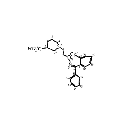 O=C(O)C1CCCN(CCO/N=C(/c2ccccc2)c2ccccc2Cl)C1